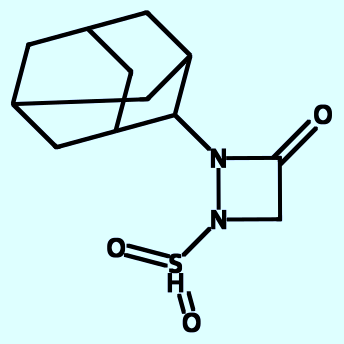 O=C1CN([SH](=O)=O)N1C1C2CC3CC(C2)CC1C3